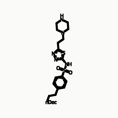 CCCCCCCCCCCCc1ccc(S(=O)(=O)Nc2nnc(CCN3CCNCC3)s2)cc1